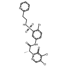 CCc1ccc(NC(=O)[C@@H](C)n2ncc(Cl)c(Cl)c2=O)cc1S(=O)(=O)NCCc1ccccn1